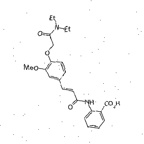 CCN(CC)C(=O)COc1ccc(/C=C/C(=O)Nc2ccccc2C(=O)O)cc1OC